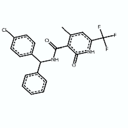 Cc1cc(C(F)(F)F)[nH]c(=O)c1C(=O)NC(c1ccccc1)c1ccc(Cl)cc1